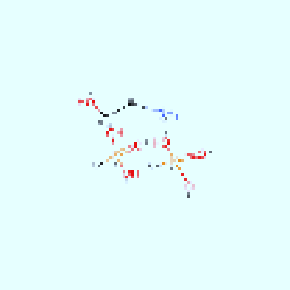 CP(=O)(O)O.CP(=O)(O)O.NCCO